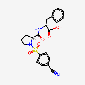 N#Cc1ccc(S(=O)(=O)N2CCC[C@H]2C(=O)N[C@@H](Cc2ccccc2)C(=O)O)cc1